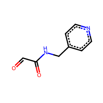 O=CC(=O)NCc1ccncc1